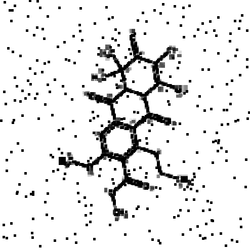 CCCc1c(C(=O)OC)c(OC)cc2c1C(=O)C1C(O)=C(C)C(=O)C(C)(C)C1C2=O